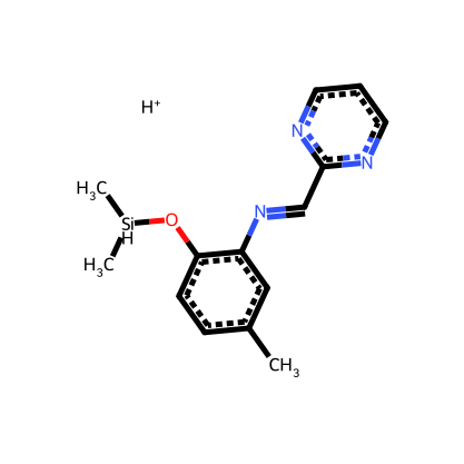 Cc1ccc(O[SiH](C)C)c(N=Cc2ncccn2)c1.[H+]